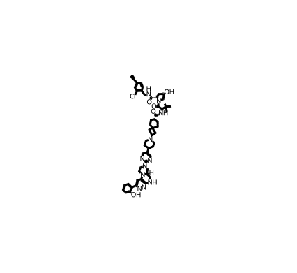 C#Cc1ccc(CNC(=O)[C@@H]2C[C@@H](O)CN2C(=O)[C@@H](NC(=O)[C@H]2CCC3(CC2)C[C@H](N2CCC(c4cnc(N5CCN6c7cc(-c8ccccc8O)nnc7NC[C@H]6C5)nc4)CC2)C3)C(C)(C)C)c(Cl)c1